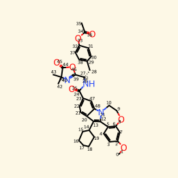 COc1ccc2c(c1)OCCn1c-2c(C2CCCCC2)c2ccc(C(=O)N[C@@H](Cc3ccc(OC(C)=O)cc3)C3=NC(C)(C)C(=O)O3)cc21